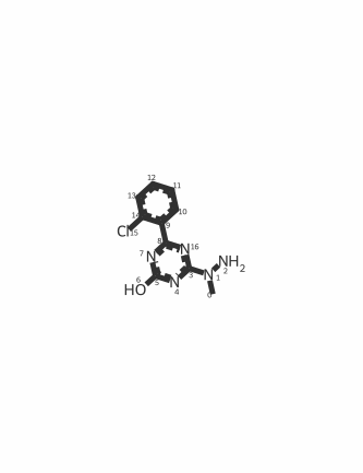 CN(N)c1nc(O)nc(-c2ccccc2Cl)n1